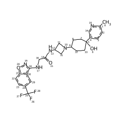 Cc1ccc(C2(O)CCC(N3CC(NC(=O)CNc4noc5ccc(C(F)(F)F)cc45)C3)CC2)cn1